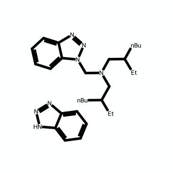 CCCCC(CC)CN(CC(CC)CCCC)Cn1nnc2ccccc21.c1ccc2[nH]nnc2c1